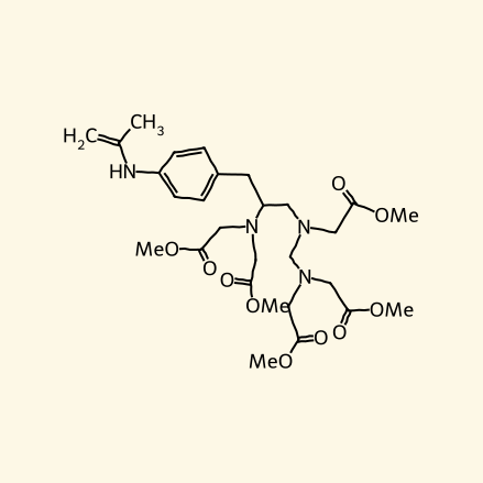 C=C(C)Nc1ccc(CC(CN(CC(=O)OC)CN(CC(=O)OC)CC(=O)OC)N(CC(=O)OC)CC(=O)OC)cc1